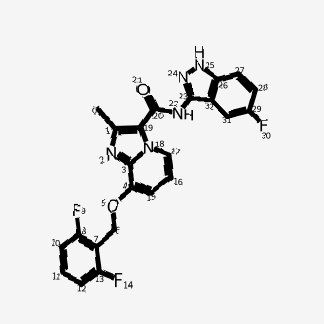 Cc1nc2c(OCc3c(F)cccc3F)cccn2c1C(=O)Nc1n[nH]c2ccc(F)cc12